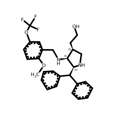 COc1ccc(OC(F)(F)F)cc1CN[C@H]1[C@@H](CCO)CN[C@H]1C(c1ccccc1)c1ccccc1